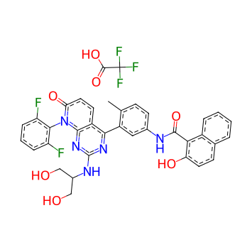 Cc1ccc(NC(=O)c2c(O)ccc3ccccc23)cc1-c1nc(NC(CO)CO)nc2c1ccc(=O)n2-c1c(F)cccc1F.O=C(O)C(F)(F)F